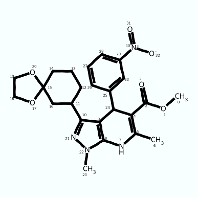 COC(=O)C1=C(C)Nc2c(c(C3CCCC4(C3)OCCO4)nn2C)C1c1cccc([N+](=O)[O-])c1